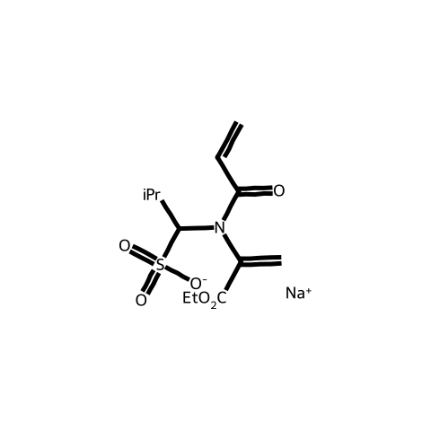 C=CC(=O)N(C(=C)C(=O)OCC)C(C(C)C)S(=O)(=O)[O-].[Na+]